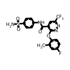 Cc1cc(F)ccc1Oc1nnc(C(F)(F)F)cc1C(=O)Nc1ccc(S(N)(=O)=O)cc1